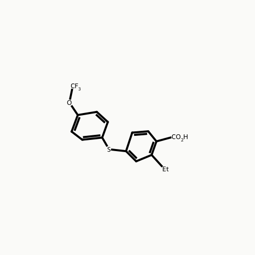 CCc1cc(Sc2ccc(OC(F)(F)F)cc2)ccc1C(=O)O